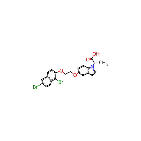 C[C@@H](C(=O)O)n1ccc2cc(OCCOc3ccc4cc(Br)ccc4c3Br)ccc21